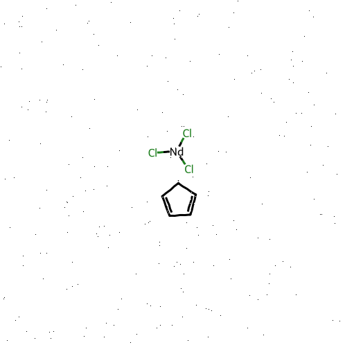 [CH]1C=CC=C1.[Cl][Nd]([Cl])[Cl]